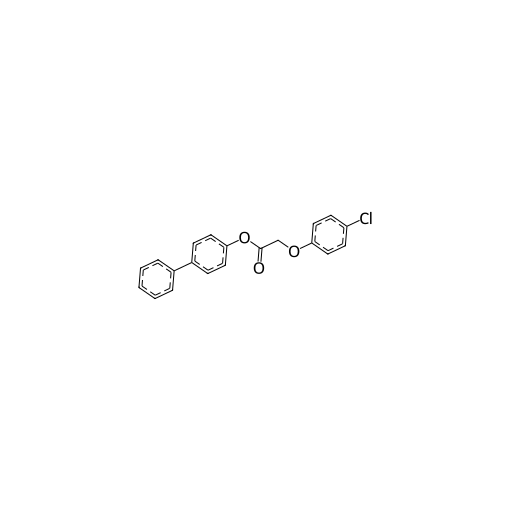 O=C(COc1ccc(Cl)cc1)Oc1ccc(-c2ccccc2)cc1